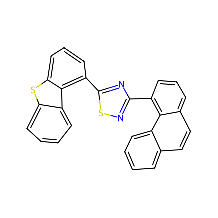 c1ccc2c(c1)ccc1cccc(-c3nsc(-c4cccc5sc6ccccc6c45)n3)c12